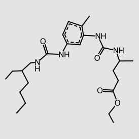 CCCCC(CC)CNC(=O)Nc1ccc(C)c(NC(=O)NC(C)CCC(=O)OCC)c1